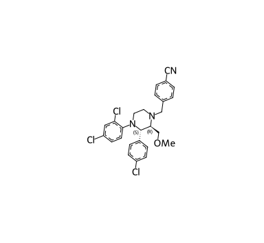 COC[C@H]1[C@H](c2ccc(Cl)cc2)N(c2ccc(Cl)cc2Cl)CCN1Cc1ccc(C#N)cc1